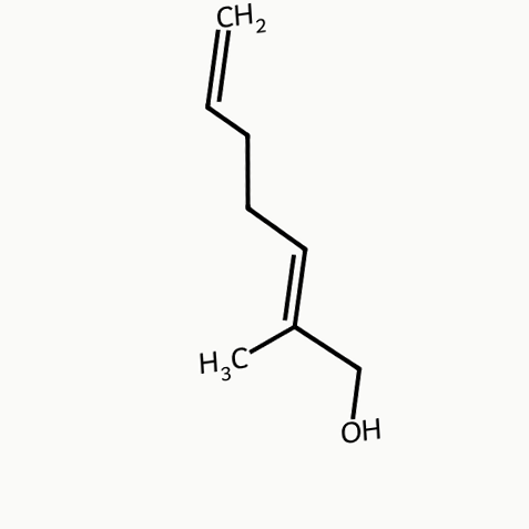 C=CCC/C=C(\C)CO